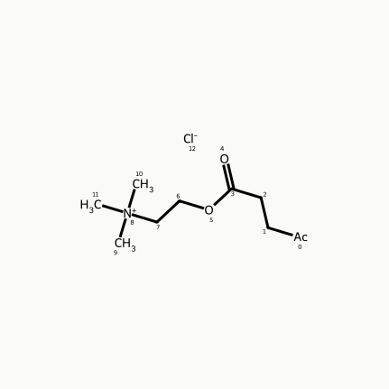 CC(=O)CCC(=O)OCC[N+](C)(C)C.[Cl-]